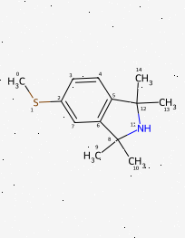 CSc1ccc2c(c1)C(C)(C)NC2(C)C